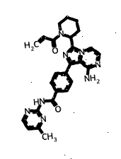 C=CC(=O)N1CCCCC1c1nc(-c2ccc(C(=O)Nc3nccc(C)n3)cc2)c2c(N)nccn12